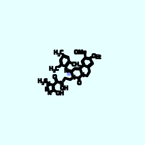 CCOc1cc2c(cc1OC)-c1c/c(=N\c3c(C)cc(C)cc3C)n(CCN(O)C(=O)c3c(O)nnn3C)c(=O)n1CC2